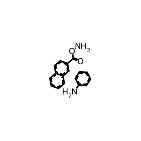 NOC(=O)c1ccc2ccccc2c1.Nc1ccccc1